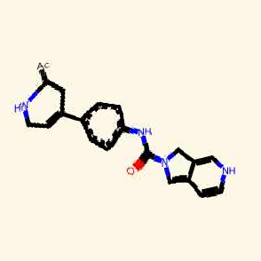 CC(=O)C1CC(c2ccc(NC(=O)N3C=C4C=CNC=C4C3)cc2)=CCN1